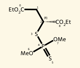 CCOC(=O)C[C@@H](SP(=S)(OC)OC)C(=O)OCC